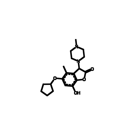 Cc1c(OC2CCCC2)cc(O)c2c1C(N1CCN(C)CC1)C(=O)O2